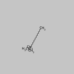 CCCCCCCCCCCCCCCCCCCCN(C)C(C)C